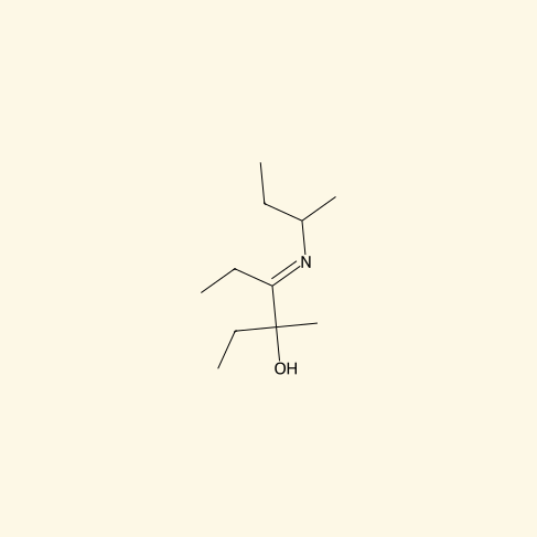 CC/C(=N\C(C)CC)C(C)(O)CC